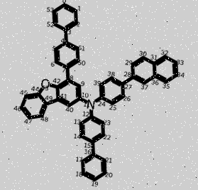 c1ccc(-c2ccc(-c3cc(N(c4ccc(-c5ccccc5)cc4)c4ccc(-c5ccc6ccccc6c5)cc4)cc4c3oc3ccccc34)cc2)cc1